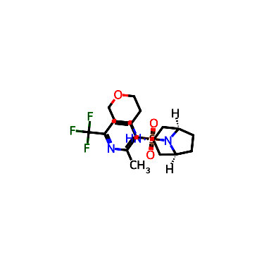 Cc1nc(C(F)(F)F)ccc1S(=O)(=O)N1[C@@H]2CC[C@H]1C[C@H](NC1CCOCC1)C2